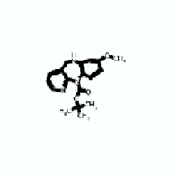 COc1ccc2c(c1)NCc1cccnc1N2C(=O)OC(C)(C)C